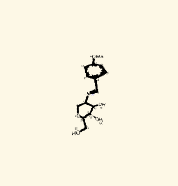 COc1ccc(/C=N/C2COC(CO)[C@@H](O)C2O)cc1